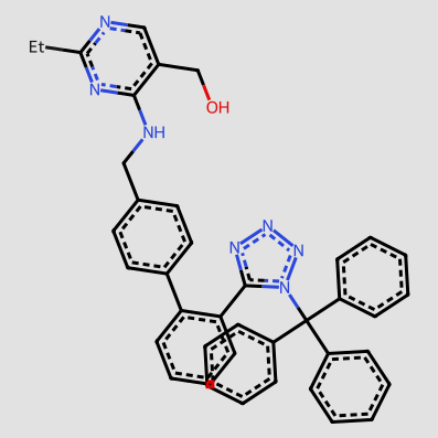 CCc1ncc(CO)c(NCc2ccc(-c3ccccc3-c3nnnn3C(c3ccccc3)(c3ccccc3)c3ccccc3)cc2)n1